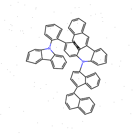 c1ccc(N(c2ccc(-c3ccccc3-n3c4ccccc4c4ccccc43)cc2)c2ccc(-c3cccc4ccccc34)c3ccccc23)c(-c2ccc3ccccc3c2)c1